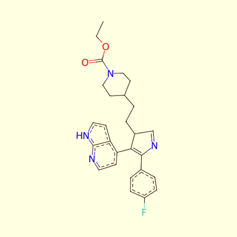 CCOC(=O)N1CCC(CCC2C=NC(c3ccc(F)cc3)=C2c2ccnc3[nH]ccc23)CC1